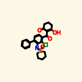 O=C1CCCC(O)=C1C(=O)c1ccc(-c2ccccc2)c(N=S2(=O)CCCCC2)c1Cl